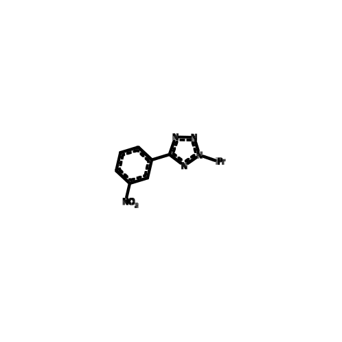 CC(C)n1nnc(-c2cccc([N+](=O)[O-])c2)n1